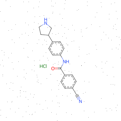 Cl.N#Cc1ccc(C(=O)Nc2ccc(C3CCNC3)cc2)cc1